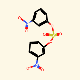 O=[N+]([O-])c1cccc(OS(=O)(=O)Oc2cccc([N+](=O)[O-])c2)c1